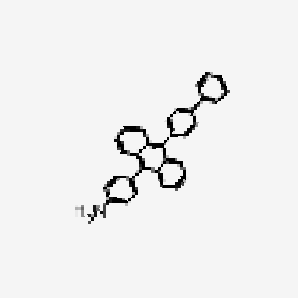 Nc1ccc(-c2c3ccccc3c(-c3ccc(-c4ccccc4)cc3)c3ccccc23)cc1